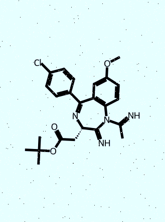 COc1ccc2c(c1)C(c1ccc(Cl)cc1)=N[C@@H](CC(=O)OC(C)(C)C)C(=N)N2C(C)=N